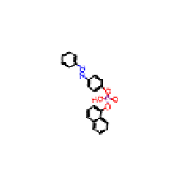 O=P(O)(Oc1ccc(/N=N/c2ccccc2)cc1)Oc1cccc2ccccc12